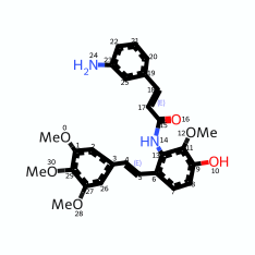 COc1cc(/C=C/c2ccc(O)c(OC)c2NC(=O)/C=C/c2cccc(N)c2)cc(OC)c1OC